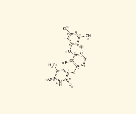 Cc1cn(Cc2ccc(Br)c(Oc3cc(Cl)cc(C#N)c3)c2F)c(=O)[nH]c1=O